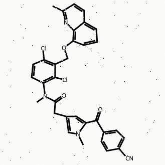 Cc1ccc2cccc(OCc3c(Cl)ccc(N(C)C(=O)Cc4cc(C(=O)c5ccc(C#N)cc5)n(C)c4)c3Cl)c2n1